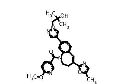 COc1ccc(C(=O)N2CCC(c3ncc(C)o3)=Cc3ccc(-c4cnn(CC(C)(C)O)c4)cc32)cn1